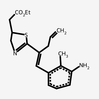 C=CC/C(=C\c1cccc(N)c1C)C1=NCC(CC(=O)OCC)S1